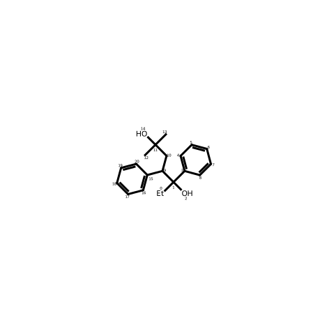 CCC(O)(c1ccccc1)C(CC(C)(C)O)c1ccccc1